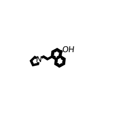 Oc1ccc(CCN2CCCC2)c2ccccc12